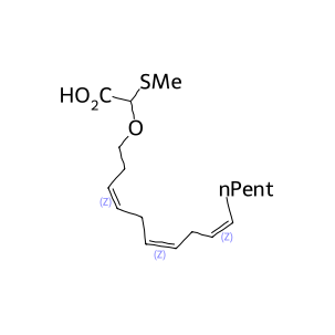 CCCCC/C=C\C/C=C\C/C=C\CCOC(SC)C(=O)O